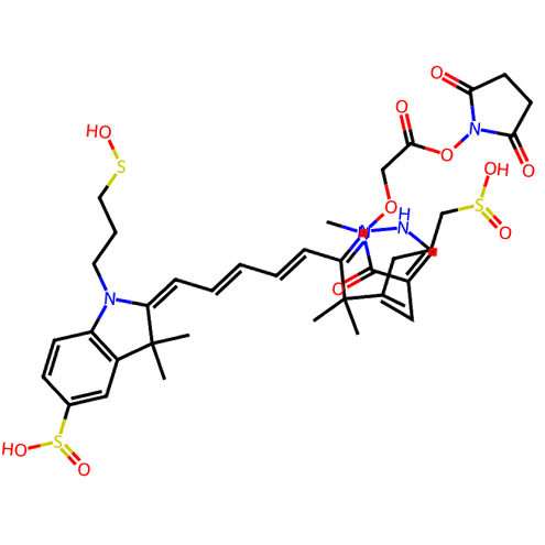 CN(OCC(=O)ON1C(=O)CCC1=O)C(=O)C1=C\N/N=C(/C=C/C=C/C=C2/N(CCCSO)c3ccc(S(=O)O)cc3C2(C)C)C(C)(C)\C(CCCS(=O)O)=C\1